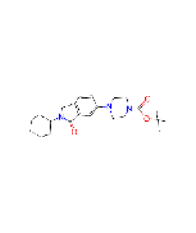 CC(C)(C)OC(=O)N1CCN(c2ccc3c(c2)C(=O)N(C2CCCCC2)C3)CC1